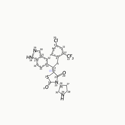 O=C1S/C(=C(/Cc2ccc(Cl)cc2C(F)(F)F)c2ccc3[nH]ncc3c2)C(=O)N1[C@@H]1CCNC1